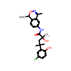 CC1=NOC(C=O)c2ccc(NC(=O)C(O)(CC(C)(C)c3cc(F)ccc3O)C(F)(F)F)cc21